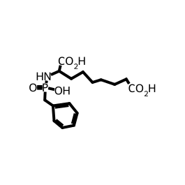 O=C(O)CCCCCCC(NP(=O)(O)Cc1ccccc1)C(=O)O